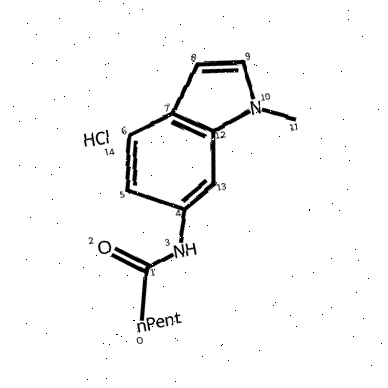 CCCCCC(=O)Nc1ccc2ccn(C)c2c1.Cl